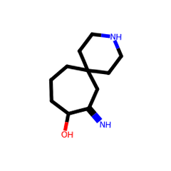 N=C1CC2(CCCC1O)CCNCC2